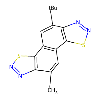 Cc1cc2c(cc(C(C)(C)C)c3nnsc32)c2snnc12